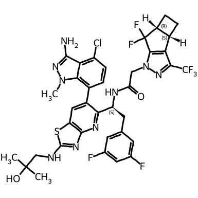 Cn1nc(N)c2c(Cl)ccc(-c3cc4sc(NCC(C)(C)O)nc4nc3[C@H](Cc3cc(F)cc(F)c3)NC(=O)Cn3nc(C(F)(F)F)c4c3C(F)(F)[C@@H]3CC[C@H]43)c21